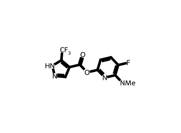 CNc1nc(OC(=O)c2cn[nH]c2C(F)(F)F)ccc1F